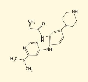 C=CC(=O)Nc1cc(N2CCNCC2)ccc1Nc1cc(N(C)C)ncn1